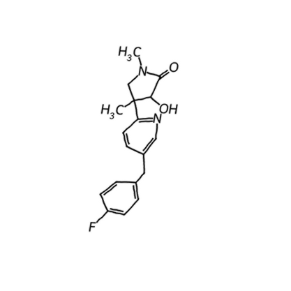 CN1CC(C)(c2ccc(Cc3ccc(F)cc3)cn2)C(O)C1=O